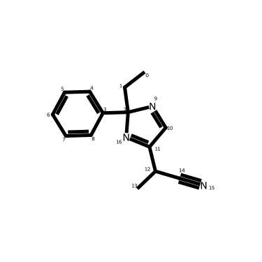 CCC1(c2ccccc2)N=CC(C(C)C#N)=N1